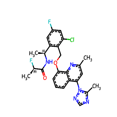 Cc1cc(-n2ncnc2C)c2cccc(OCc3c(Cl)cc(F)cc3[C@H](C)NC(=O)[C@@H](C)F)c2n1